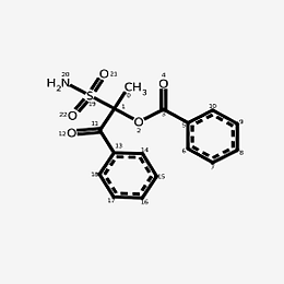 CC(OC(=O)c1ccccc1)(C(=O)c1ccccc1)S(N)(=O)=O